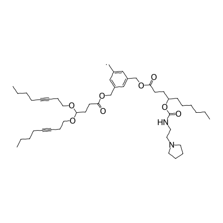 [CH2]c1cc(COC(=O)CCC(CCCCCC)OC(=O)NCCN2CCCC2)cc(COC(=O)CCC(OCCC#CCCCC)OCCC#CCCCC)c1